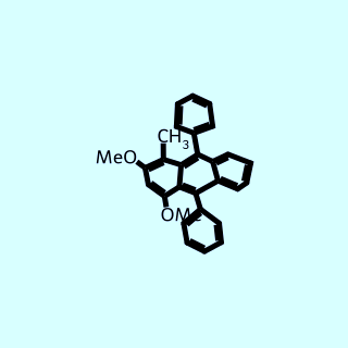 COc1cc(OC)c2c(-c3ccccc3)c3ccccc3c(-c3ccccc3)c2c1C